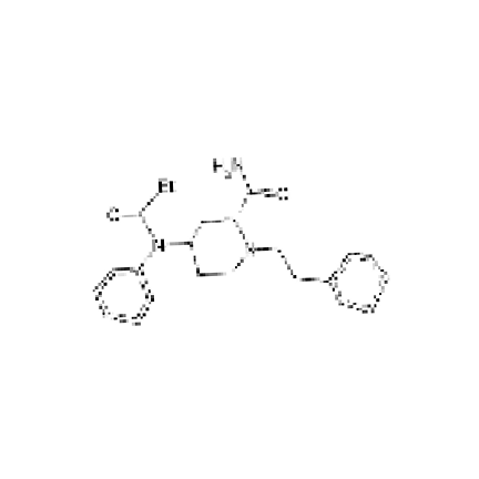 CCC(=O)N(c1ccccc1)C1CCN(CCc2ccccc2)[C@@H](C(N)=O)C1